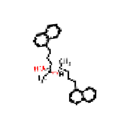 C[SiH](CCCc1cccc2ccccc12)O[Si](C)(O)CCCc1cccc2ccccc12